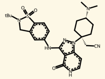 CN(C)[C@H]1CC[C@](CC#N)(n2nc(Nc3ccc4c(c3)CN(C(C)(C)C)S4(=O)=O)c3c(=O)[nH]ccc32)CC1